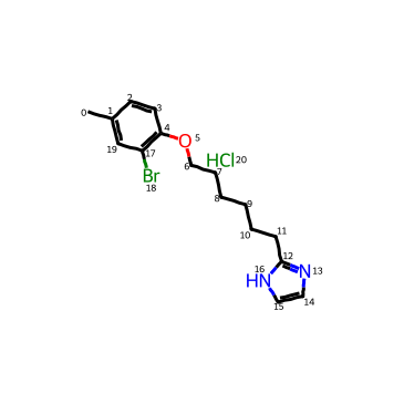 Cc1ccc(OCCCCCCc2ncc[nH]2)c(Br)c1.Cl